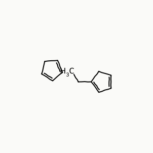 C1=CCC=C1.CCC1=CC=CC1